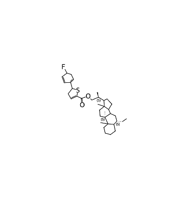 CC[C@H]1CC2C3CCC([C@H](C)COC(=O)C4=CCC(C5=CCC(F)C=C5)S4)C3(C)CC[C@]2(C)C2(C)CCCCC12